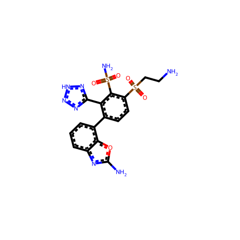 NCCS(=O)(=O)c1ccc(-c2cccc3nc(N)oc23)c(-c2nn[nH]n2)c1S(N)(=O)=O